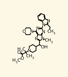 CCc1nc2ccccc2n1-c1nc(N2CCOCC2)c2nc(C(O)C3CCN(C(C)(C)C(=O)OC)CC3)n(C)c2n1